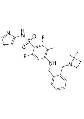 Cc1c(NCc2ccccc2CN2CCC2(C)C)cc(F)c(S(=O)(=O)Nc2cscn2)c1F